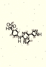 CS(=O)(=O)Nc1ccc(Nc2ncc(-c3cn[nH]c3)n3ccnc23)cc1